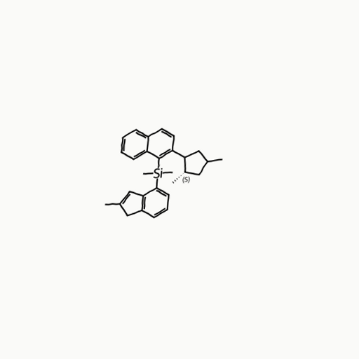 CC1=Cc2c(cccc2[Si](C)(C)c2c(C3CC(C)C[C@@H]3C)ccc3ccccc23)C1